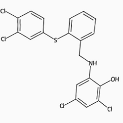 Oc1c(Cl)cc(Cl)cc1NCc1ccccc1Sc1ccc(Cl)c(Cl)c1